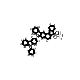 CC1(C)c2ccccc2-c2c1ccc1cc3c(cc21)c1ccccc1n3-c1ccc2c(c1)c1ccccc1n2-c1ccccc1